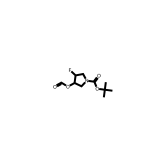 CC(C)(C)OC(=O)N1CC(F)C(OC=O)C1